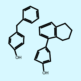 Oc1ccc(-c2cccc3c2CCCC3)cc1.Oc1ccc(Cc2ccccc2)cc1